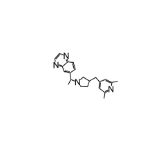 Cc1cc(CC2CCN(C(C)c3ccc4nccnc4c3)C2)cc(C)n1